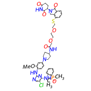 COc1cc(N2CCC(NC(=O)COCCOCCSc3cccc4c3CN(C3CCC(=O)NC3=O)C4=O)CC2)ccc1Nc1ncc(Cl)c(Nc2ccccc2P(C)(C)=O)n1